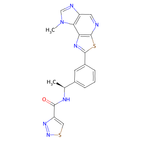 C[C@H](NC(=O)c1csnn1)c1cccc(-c2nc3c(ncc4ncn(C)c43)s2)c1